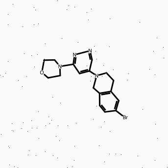 Brc1ccc2c(c1)CCN(c1cnnc(N3CCOCC3)c1)C2